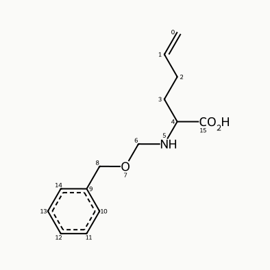 C=CCCC(NCOCc1ccccc1)C(=O)O